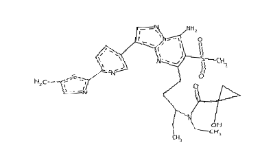 CCC(CCc1nc2c(-c3ccc(-c4ncc(C)s4)nc3)cnn2c(N)c1S(C)(=O)=O)N(CC)C(=O)C1(O)CC1